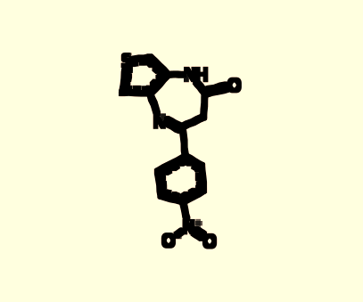 O=C1CC(c2ccc([N+](=O)[O-])cc2)=Nc2cscc2N1